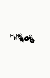 NC(=O)Nc1cnn(-c2ccc(C(=O)N3CCCCC3)cc2)c1